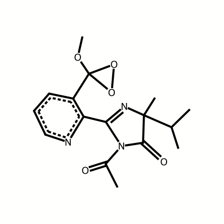 COC1(c2cccnc2C2=NC(C)(C(C)C)C(=O)N2C(C)=O)OO1